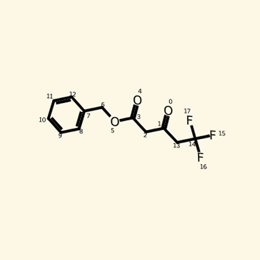 O=C(CC(=O)OCc1ccccc1)CC(F)(F)F